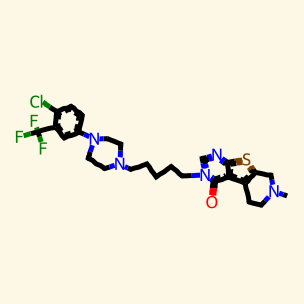 CN1CCc2c(sc3ncn(CCCCCN4CCN(c5ccc(Cl)c(C(F)(F)F)c5)CC4)c(=O)c23)C1